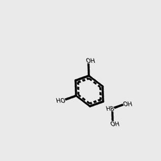 OBO.Oc1cccc(O)c1